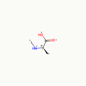 C[C@@H](NI)C(=O)O